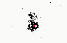 CCN1NC(C)C(Cl)(C2CCCCCC2)C1c1cc(F)cc(C(=O)NC[C@@H](N)C(=O)O)c1